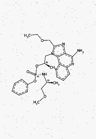 CCOCc1nc2c(N)nc3ccccc3c2n1C[C@@H](C)O[P@@](=O)(N[C@@H](C)COC)Oc1ccccc1